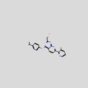 COCc1nc(Nc2ccc(C(C)C)cc2)c2ccc(-c3ncccc3Cl)nc2n1